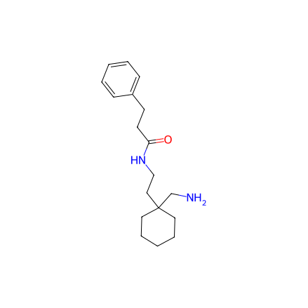 NCC1(CCNC(=O)CCc2ccccc2)CCCCC1